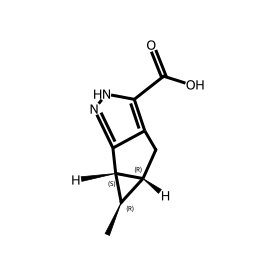 C[C@@H]1[C@H]2Cc3c(n[nH]c3C(=O)O)[C@@H]12